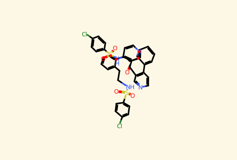 O=C(c1cnccc1-c1ccccc1CCNS(=O)(=O)c1ccc(Cl)cc1)c1cnccc1-c1ccccc1CCNS(=O)(=O)c1ccc(Cl)cc1